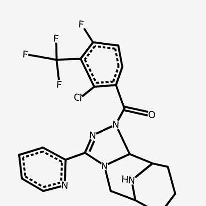 O=C(c1ccc(F)c(C(F)(F)F)c1Cl)N1N=C(c2ccccn2)N2CC3CCCC(N3)C21